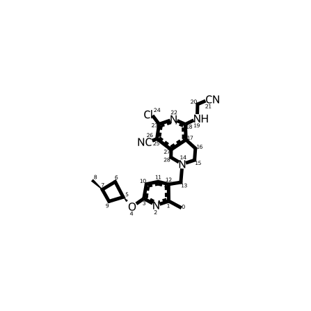 Cc1nc(O[C@H]2C[C@H](C)C2)ccc1CN1CCc2c(NCC#N)nc(Cl)c(C#N)c2C1